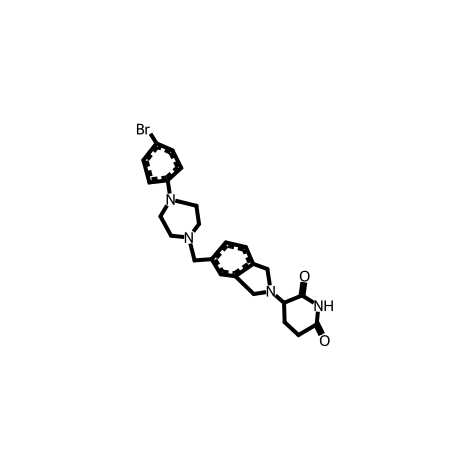 O=C1CCC(N2Cc3ccc(CN4CCN(c5ccc(Br)cc5)CC4)cc3C2)C(=O)N1